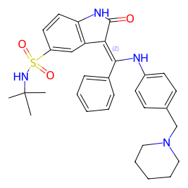 CC(C)(C)NS(=O)(=O)c1ccc2c(c1)/C(=C(/Nc1ccc(CN3CCCCC3)cc1)c1ccccc1)C(=O)N2